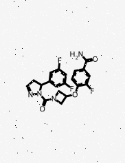 NC(=O)c1ccc(OC2CN(C(=O)N3N=CCC3c3cc(F)cc(F)c3)C2)c(F)c1